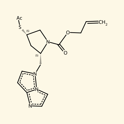 C=CCOC(=O)N1C[C@@H](SC(C)=O)C[C@H]1Cn1ccc2nccn21